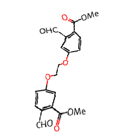 COC(=O)c1ccc(OCCOc2ccc(C=O)c(C(=O)OC)c2)cc1C=O